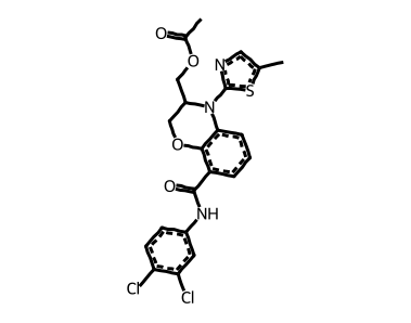 CC(=O)OCC1COc2c(C(=O)Nc3ccc(Cl)c(Cl)c3)cccc2N1c1ncc(C)s1